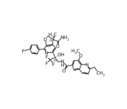 CCc1ccc2cc(C(=O)NC[C@](O)(c3cc4c(c(-c5ccc(F)cc5)n3)OC[C@]4(C)C(N)=O)C(F)(F)F)cc(OC)c2n1